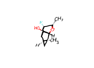 C[C@@H]1O[C@@H]2[C@@]3(C)C[C@H]3C[C@]2(O)[C@@H]1F